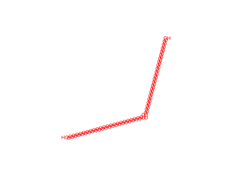 O=S(=O)(OOOOOOOOOOOOOOOOOOOOOOOOOOOOOOOOOOOOOOOOOOOOOO)OOOOOOOOOOOOOOOOOOOOOOOOOOOOOOOOOOOOOOOOOOOOOO